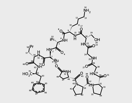 CC[C@H](C)[C@H](NC(=O)[C@@H](NC(=O)[C@H](CCCCN)NC(=O)[C@H](CO)NC(=O)CNC(=O)CNC(=O)[C@@H]1CCCN1C(=O)[C@@H]1CCCN1C(=O)[C@@H]1CCC(=O)N1)C(C)C)C(=O)N[C@@H](CC(C)C)C(=O)N[C@@H](Cc1ccccc1)C(=O)O